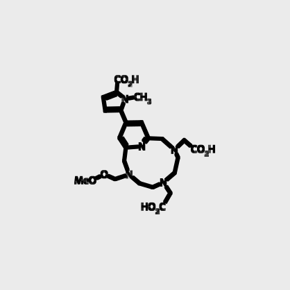 COOCN1CCN(CC(=O)O)CCN(CC(=O)O)Cc2cc(-c3ccc(C(=O)O)n3C)cc(n2)C1